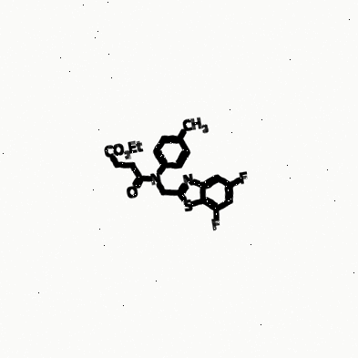 CCOC(=O)CCC(=O)N(Cc1nc2cc(F)cc(F)c2s1)c1ccc(C)cc1